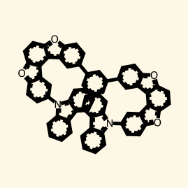 c1cc(-c2ccc3oc4ccc5oc6ccc(-n7c8ccccc8c8ccccc87)cc6c5c4c3c2)cc(-c2ccc3oc4ccc5oc6ccc(-n7c8ccccc8c8ccccc87)cc6c5c4c3c2)c1